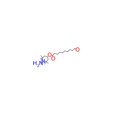 CC1(C)CC(OC(=O)CCCCCCCCC=O)CC(C)(C)N1N